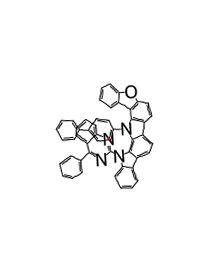 c1ccc(-c2ccc(-n3c4c(ccc5oc6ccccc6c54)c4ccc5c6ccccc6n(-c6nc(-c7ccccc7)c7ccccc7n6)c5c43)cc2)cc1